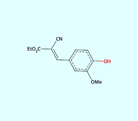 CCOC(=O)C(C#N)=Cc1ccc(O)c(OC)c1